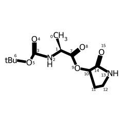 C[C@H](NC(=O)OC(C)(C)C)C(=O)OC1CCNC1=O